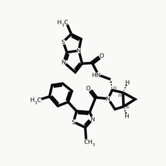 Cc1cccc(-c2sc(C)nc2C(=O)N2C[C@@H]3C[C@@H]3[C@H]2CNC(=O)c2cnc3sc(C)cn23)c1